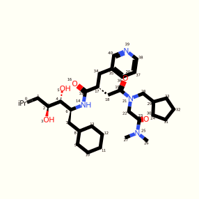 CC(C)C[C@H](O)[C@H](O)[C@H](CC1CCCCC1)NC(=O)[C@@H](CC(=O)N(CC(=O)N(C)C)CC1CCCC1)Cc1cccnc1